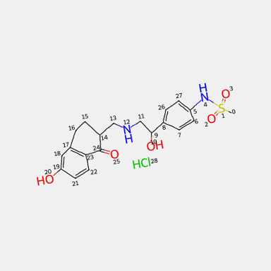 CS(=O)(=O)Nc1ccc(C(O)CNCC2CCc3cc(O)ccc3C2=O)cc1.Cl